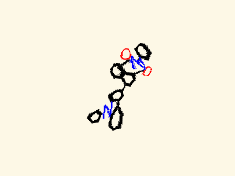 O=C1c2cccc3c(-c4ccc5c(c4)c4ccccc4n5-c4ccccc4)ccc(c23)C(=O)N1c1ccccc1